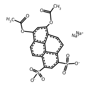 CC(=O)Oc1cc(OC(C)=O)c2ccc3c(S(=O)(=O)[O-])cc(S(=O)(=O)[O-])c4ccc1c2c43.[Na+].[Na+]